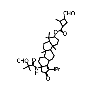 CC(C)C1=C2C3CCC4C(C)(CCC5C(C)(C)C(OC(=O)C6CC(C=O)C6C)CCC54C)C3CCC2(NC(=O)C(C)(C)C=O)CC1=O